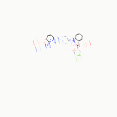 C[N+]1(Cc2ccc(O)c(N)n2)CCC(N(I)C(=O)[C@](O)(c2ccccc2)[C@@H]2CCC(F)(F)C2)CC1